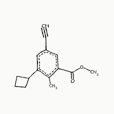 C#Cc1cc(C(=O)OC)c(C)c(C2CCC2)c1